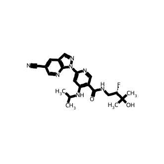 CC(C)Nc1cc(-n2ncc3cc(C#N)cnc32)ncc1C(=O)NC[C@H](F)C(C)(C)O